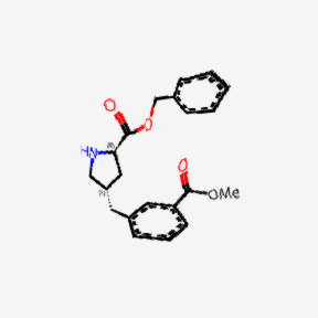 COC(=O)c1cccc(C[C@@H]2CN[C@@H](C(=O)OCc3ccccc3)C2)c1